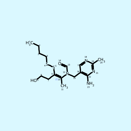 CCCCSS/C(CCO)=C(/C)N(C=O)Cc1cnc(C)nc1N